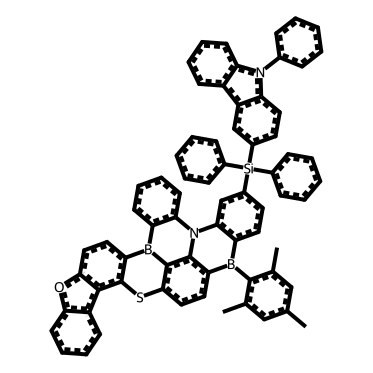 Cc1cc(C)c(B2c3ccc([Si](c4ccccc4)(c4ccccc4)c4ccc5c(c4)c4ccccc4n5-c4ccccc4)cc3N3c4ccccc4B4c5ccc6oc7ccccc7c6c5Sc5ccc2c3c54)c(C)c1